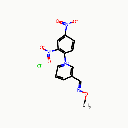 CON=Cc1ccc[n+](-c2ccc([N+](=O)[O-])cc2[N+](=O)[O-])c1.[Cl-]